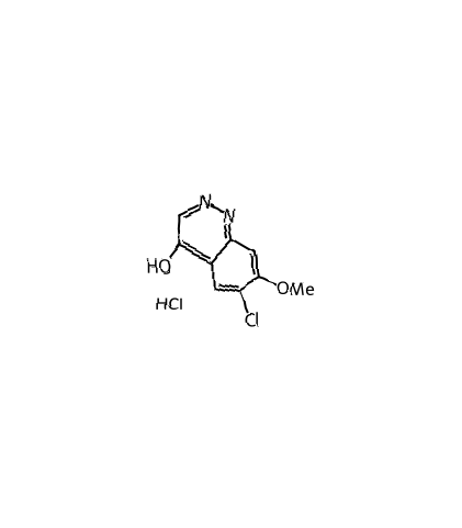 COc1cc2nncc(O)c2cc1Cl.Cl